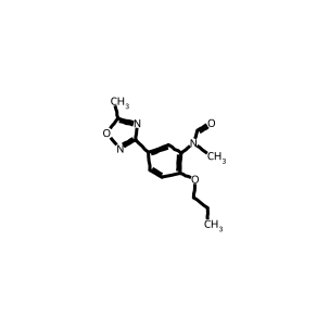 CCCOc1ccc(-c2noc(C)n2)cc1N(C)C=O